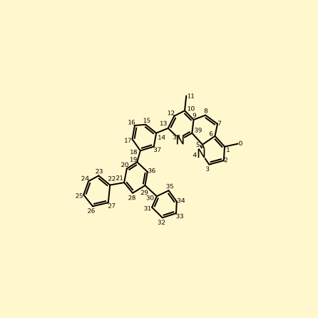 Cc1ccnc2c1ccc1c(C)cc(-c3cccc(-c4cc(-c5ccccc5)cc(-c5ccccc5)c4)c3)nc12